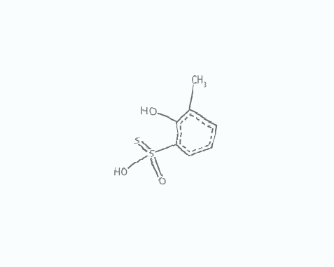 Cc1cccc(S(=O)(O)=S)c1O